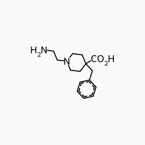 NCCN1CCC(Cc2ccccc2)(C(=O)O)CC1